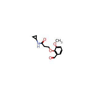 COc1cccc(C=O)c1OCCC(=O)NC1CC1